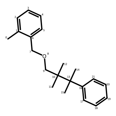 Cc1ccccc1COCC(C)(C)C(C)(C)c1ccccc1